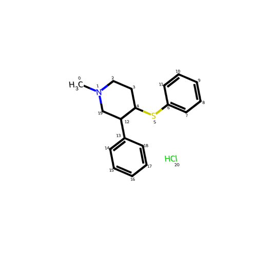 CN1CCC(Sc2ccccc2)C(c2ccccc2)C1.Cl